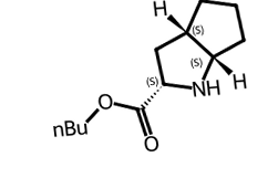 CCCCOC(=O)[C@@H]1C[C@@H]2CCC[C@@H]2N1